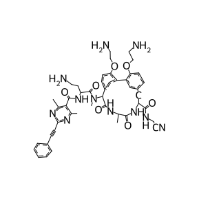 Cc1nc(C#Cc2ccccc2)nc(C)c1C(=O)NC(CCN)C(=O)N(C)C1C(=O)NC(C)C(=O)NC(C(=O)NCC#N)Cc2ccc(OCCN)c(c2)-c2cc1ccc2OCCN